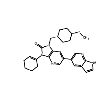 CO[C@H]1CC[C@H](Cn2c(=O)n(C3=CCCCC3)c3ncc(-c4cnc5[nH]ccc5c4)cc32)CC1